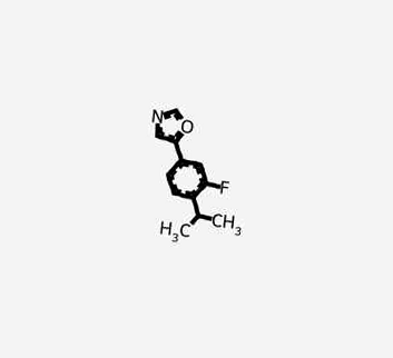 CC(C)c1ccc(-c2cnco2)cc1F